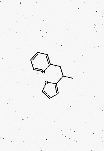 C[C](Cc1ccccn1)c1ccco1